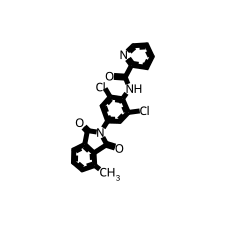 Cc1cccc2c1C(=O)N(c1cc(Cl)c(NC(=O)c3ccccn3)c(Cl)c1)C2=O